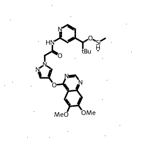 COc1cc2ncnc(Oc3cnn(CC(=O)Nc4cc(C(O[SiH](C)C)C(C)(C)C)ccn4)c3)c2cc1OC